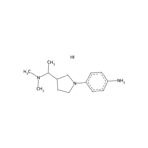 CC(C1CCN(c2ccc(N)cc2)C1)N(C)C.I